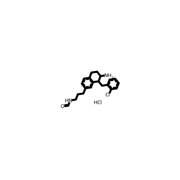 Cl.NC1CCc2ccc(CCCNC=O)cc2C1Cc1ccccc1Cl